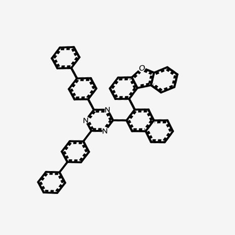 c1ccc(-c2ccc(-c3nc(-c4ccc(-c5ccccc5)cc4)nc(-c4cc5ccccc5cc4-c4cccc5oc6ccccc6c45)n3)cc2)cc1